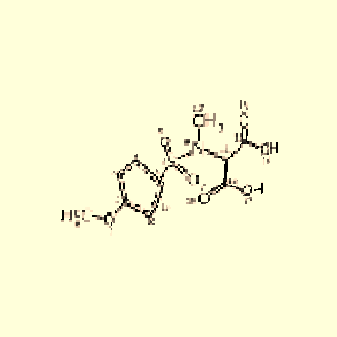 COc1ccc(S(=O)(=O)N(C)C(C(=O)O)C(=O)O)cc1